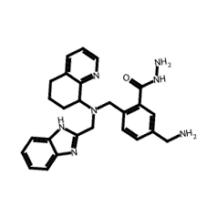 NCc1ccc(CN(Cc2nc3ccccc3[nH]2)C2CCCc3cccnc32)c(C(=O)NN)c1